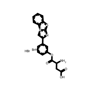 Br.Br.NC(CC(=O)O)C(=O)Oc1cccc(-c2cn3c(n2)sc2ccccc23)c1